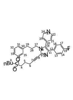 CCCCS(=O)(=O)CCCC#Cc1nc(-c2ccc(F)cc2)c(-c2ccncc2)n1CCCc1ccccc1